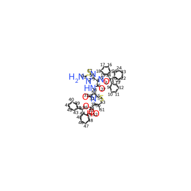 Nc1nc(/C(=N/OC(c2ccccc2)(c2ccccc2)c2ccccc2)C(=O)NC2C(=O)N3C(C(=O)OC(c4ccccc4)c4ccccc4)=C(CO)CSC23)ns1